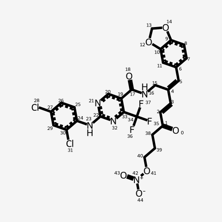 O=C(C=CC(=Cc1ccc2c(c1)OCO2)CNC(=O)c1cnc(Nc2ccc(Cl)cc2Cl)nc1C(F)(F)F)CCCO[N+](=O)[O-]